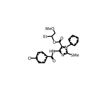 CCC(COC)OC(=O)c1c(NC(=O)c2ccc(Cl)cc2)nc(SC)n1-c1ccccc1